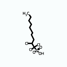 CCCCCCCCC(Cl)C(Cl)(Cl)S(=O)(=O)O